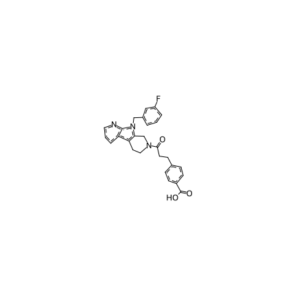 O=C(O)c1ccc(CCC(=O)N2CCc3c(n(Cc4cccc(F)c4)c4ncccc34)C2)cc1